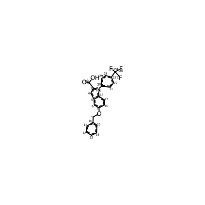 O=C(O)c1cc2cc(OCc3ccccc3)ccc2n1-c1ccc(C(F)(F)F)cc1